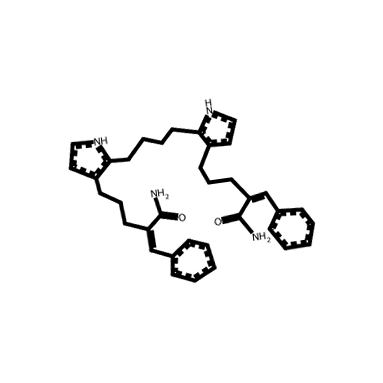 NC(=O)C(=Cc1ccccc1)CCCc1cc[nH]c1CCCCc1[nH]ccc1CCCC(=Cc1ccccc1)C(N)=O